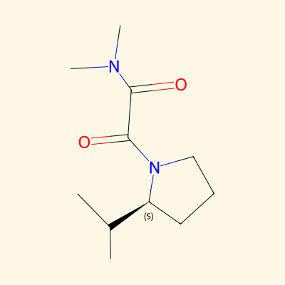 CC(C)[C@@H]1CCCN1C(=O)C(=O)N(C)C